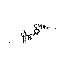 COc1ccc(CCC(C2COCCN2)N(C)C)cc1OC